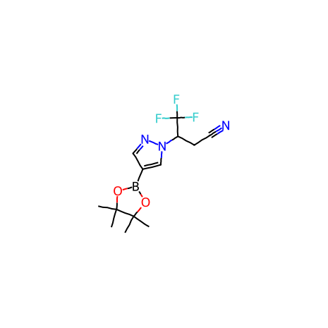 CC1(C)OB(c2cnn(C(CC#N)C(F)(F)F)c2)OC1(C)C